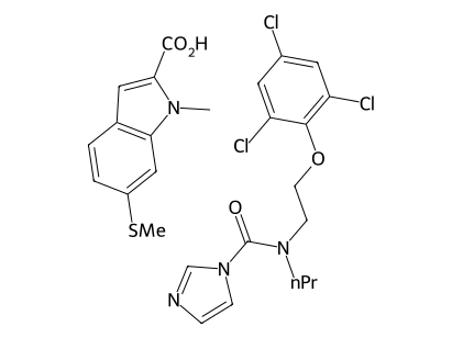 CCCN(CCOc1c(Cl)cc(Cl)cc1Cl)C(=O)n1ccnc1.CSc1ccc2cc(C(=O)O)n(C)c2c1